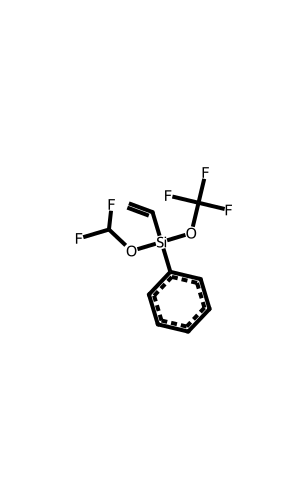 C=C[Si](OC(F)F)(OC(F)(F)F)c1ccccc1